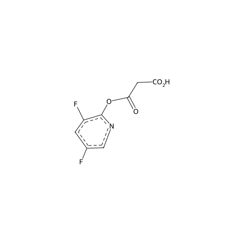 O=C(O)CC(=O)Oc1ncc(F)cc1F